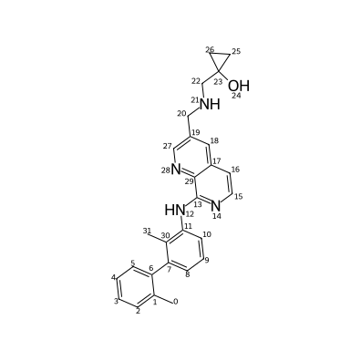 Cc1ccccc1-c1cccc(Nc2nccc3cc(CNCC4(O)CC4)cnc23)c1C